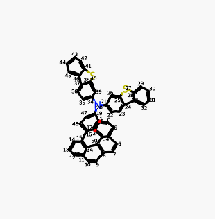 c1ccc2c(c1)ccc1ccc3cccc(-c4ccc(N(c5ccc6c(c5)sc5ccccc56)c5ccc6c(c5)sc5ccccc56)cc4)c3c12